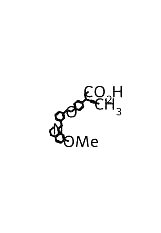 CC#CC(CC(=O)O)c1ccc(OCc2cccc(CN3CCCc4ccc(OC)cc43)c2)cc1